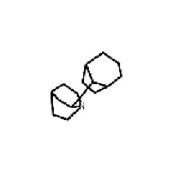 C1CC2CCC(C1)C2C1CC2CCN1CC2